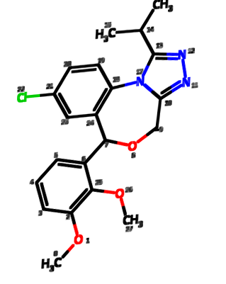 COc1cccc(C2O[C]c3nnc(C(C)C)n3-c3ccc(Cl)cc32)c1OC